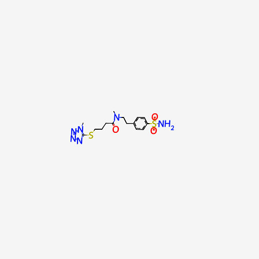 CN(CCc1ccc(S(N)(=O)=O)cc1)C(=O)CCCSc1nnnn1C